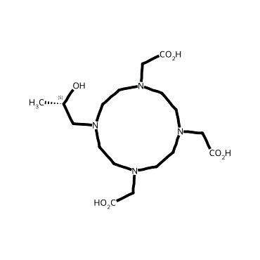 C[C@H](O)CN1CCN(CC(=O)O)CCN(CC(=O)O)CCN(CC(=O)O)CC1